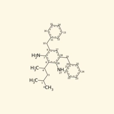 CC(C)CC(C)c1c(N)c(Cc2ccccc2)cc(Cc2ccccc2)c1N